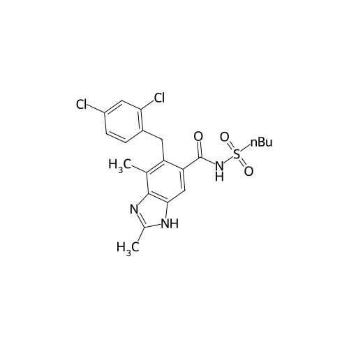 CCCCS(=O)(=O)NC(=O)c1cc2[nH]c(C)nc2c(C)c1Cc1ccc(Cl)cc1Cl